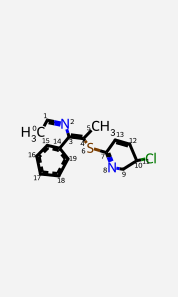 C/C=N\C(=C(/C)SC1=NCC(Cl)C=C1)c1ccccc1